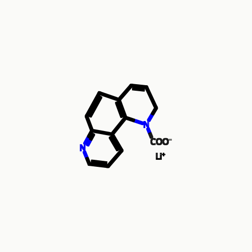 O=C([O-])N1CC=Cc2ccc3ncccc3c21.[Li+]